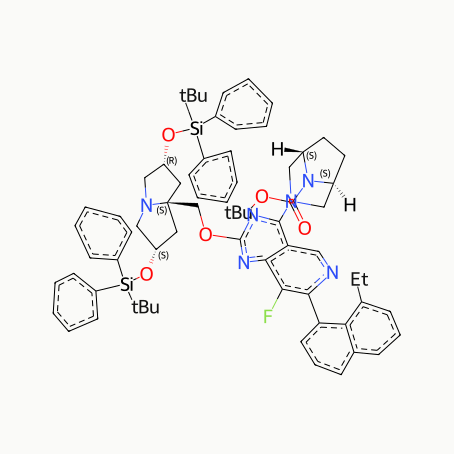 CCc1cccc2cccc(-c3ncc4c(N5C[C@@H]6CC[C@@H](C5)N6C(=O)OC(C)(C)C)nc(OC[C@@]56C[C@H](O[Si](c7ccccc7)(c7ccccc7)C(C)(C)C)CN5C[C@H](O[Si](c5ccccc5)(c5ccccc5)C(C)(C)C)C6)nc4c3F)c12